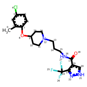 Cc1cc(Cl)ccc1OC1CCN(CCCNC(=O)c2c[nH]nc2C(F)(F)F)CC1